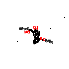 CCCCC[C@H](O)CC[C@@H]1[C@H]2Cc3cccc(OCOOC)c3C[C@H]2C[C@H]1O